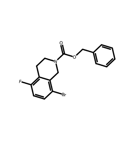 O=C(OCc1ccccc1)N1CCc2c(F)ccc(Br)c2C1